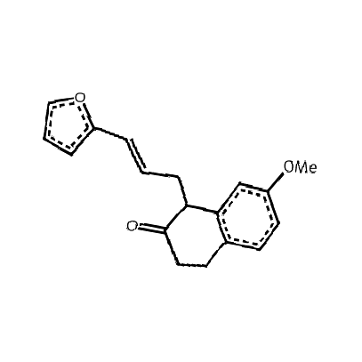 COc1ccc2c(c1)C(C/C=C/c1ccco1)C(=O)CC2